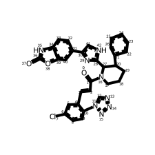 O=C(C=Cc1cc(Cl)ccc1-n1cnnn1)N1CCCC(c2ccccc2)C1c1nc(-c2ccc3[nH]c(=O)oc3c2)c[nH]1